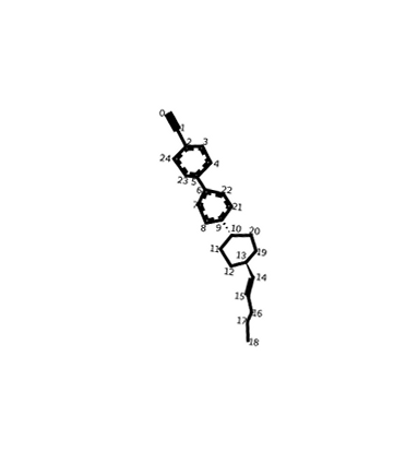 C#Cc1ccc(-c2ccc([C@H]3CC[C@H](/C=C/CCC)CC3)cc2)cc1